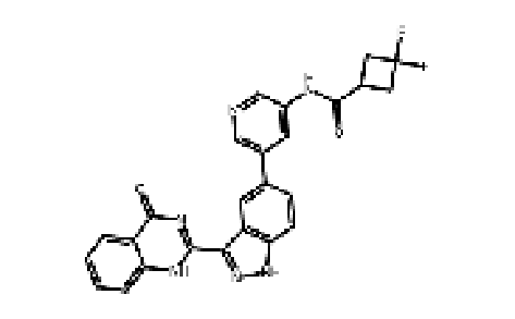 O=C(Nc1cncc(-c2ccc3[nH]nc(-c4nc(=O)c5ccccc5[nH]4)c3c2)c1)C1CC(F)(F)C1